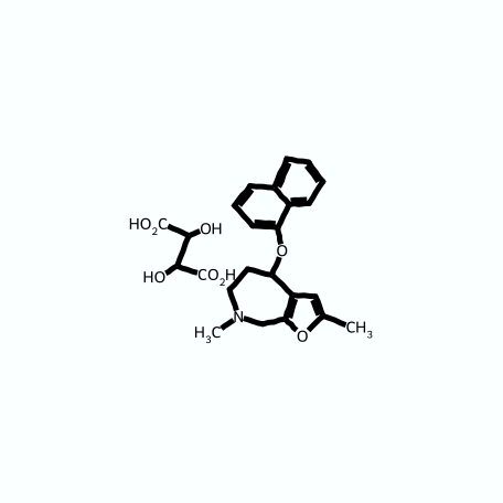 Cc1cc2c(o1)CN(C)CCC2Oc1cccc2ccccc12.O=C(O)C(O)C(O)C(=O)O